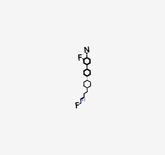 N#Cc1ccc(-c2ccc([C@H]3CC[C@H](CC/C=C/CF)CC3)cc2)cc1F